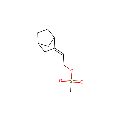 CS(=O)(=O)OCC=C1CC2CCC1C2